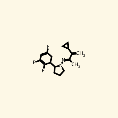 C=C(/C(C)=N/N1CCCC1C1CC(F)=CC(F)=C1F)C1CC1